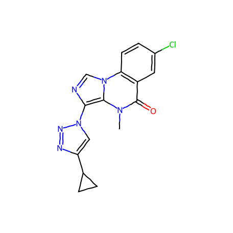 Cn1c(=O)c2cc(Cl)ccc2n2cnc(-n3cc(C4CC4)nn3)c12